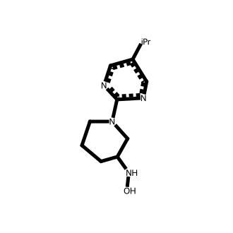 CC(C)c1cnc(N2CCCC(NO)C2)nc1